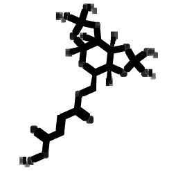 COC(=O)/C=C/C(=O)OC[C@H]1O[C@@H]2OC(C)(C)O[C@@H]2[C@H]2OC(C)(C)O[C@H]21